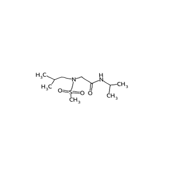 CC(C)CN(CC(=O)NC(C)C)S(C)(=O)=O